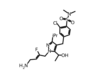 CC(C)c1nn(CC(F)=CCN)c(C(C)O)c1Cc1ccc(S(=O)(=O)N(C)C)c(Cl)c1